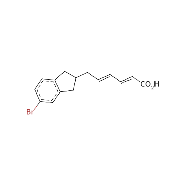 O=C(O)/C=C/C=C/CC1Cc2ccc(Br)cc2C1